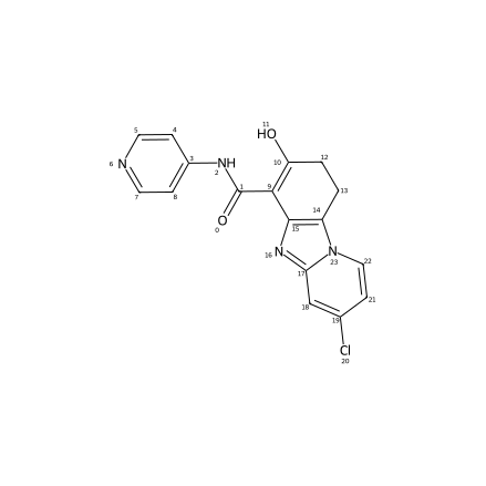 O=C(Nc1ccncc1)C1=C(O)CCc2c1nc1cc(Cl)ccn21